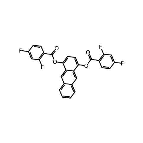 O=C(Oc1ccc(OC(=O)c2ccc(F)cc2F)c2cc3ccccc3cc12)c1ccc(F)cc1F